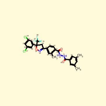 Cc1cc(C)cc(C(=O)NNC(=O)c2ccc(C3=NOC(c4cc(Cl)cc(Cl)c4)(C(F)(F)F)C3)cc2C)c1